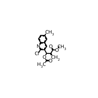 C=C(C(=O)OC)C(OC(C)=O)c1cc2cc(C)ccc2nc1Cl